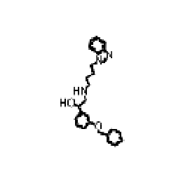 OC(CNCCCCn1cnc2ccccc21)c1cccc(OCc2ccccc2)c1